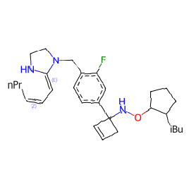 CCC/C=C\C=C1/NCCN1Cc1ccc(C2(NOC3CCCC3C(C)CC)C=CC2)cc1F